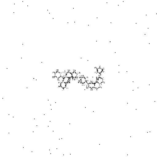 c1ccc(-c2ccc3ccc4ccc(-c5ccc(-c6ccc7ccc8c(-c9ccccc9)c9ccccc9nc8c7n6)nc5)nc4c3n2)cc1